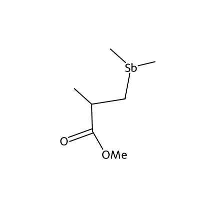 COC(=O)C(C)[CH2][Sb]([CH3])[CH3]